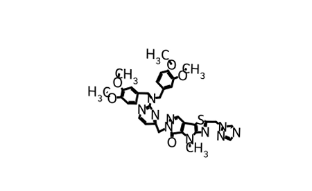 COc1ccc(CN(Cc2ccc(OC)c(OC)c2)c2nccc(Cn3ncc4c5sc(Cn6cncn6)nc5n(C)c4c3=O)n2)cc1OC